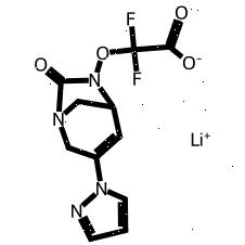 O=C1N2CC(n3cccn3)=CC(C2)N1OC(F)(F)C(=O)[O-].[Li+]